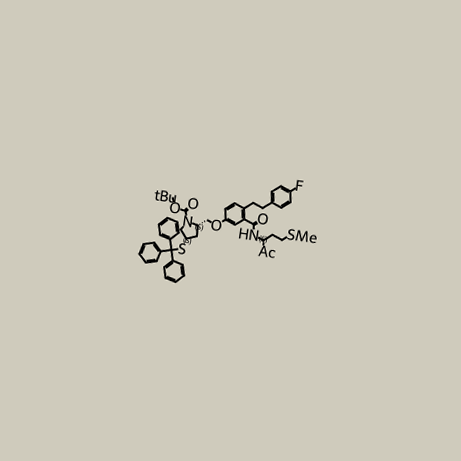 CSCC[C@H](NC(=O)c1cc(OC[C@@H]2C[C@H](SC(c3ccccc3)(c3ccccc3)c3ccccc3)CN2C(=O)OC(C)(C)C)ccc1CCc1ccc(F)cc1)C(C)=O